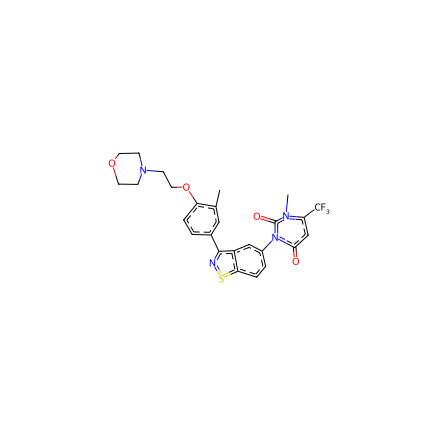 Cc1cc(-c2nsc3ccc(-n4c(=O)cc(C(F)(F)F)n(C)c4=O)cc23)ccc1OCCN1CCOCC1